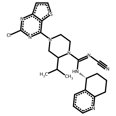 CC(C)C1CN(c2nc(Cl)nc3ccsc23)CCN1/C(=N/C#N)N[C@@H]1CCCc2ncccc21